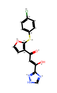 O=C(C=C(O)c1nc[nH]n1)c1ccoc1Sc1ccc(Cl)cc1